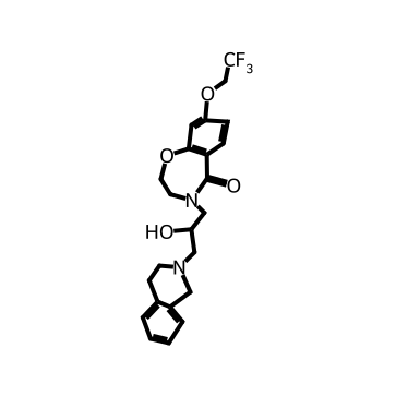 O=C1c2ccc(OCC(F)(F)F)cc2OCCN1CC(O)CN1CCc2ccccc2C1